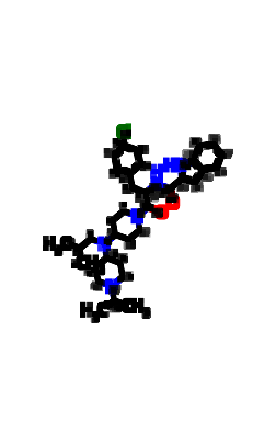 CC(C)CN(C1CCN(C(=O)[C@@H](Cc2ccc(Cl)cc2)NC(=O)c2cc3ccccc3[nH]2)CC1)C1CCN(C(C)C)CC1